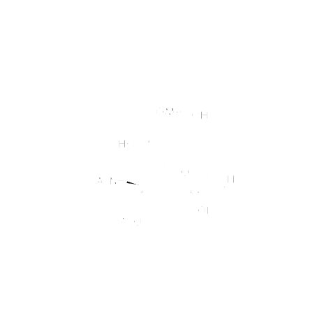 COC(CO)C(O)[C@@H]1OC(O)(C(=O)O)C[C@H](OC(C)=O)[C@H]1NC(C)=O